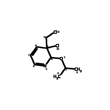 CC(C)OC1N=CC=CC1(Cl)CCl